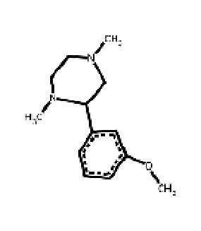 COc1cccc(C2CN(C)CCN2C)c1